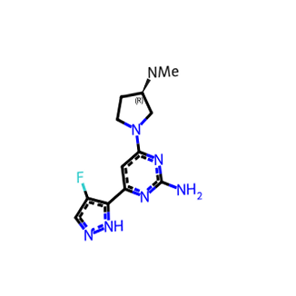 CN[C@@H]1CCN(c2cc(-c3[nH]ncc3F)nc(N)n2)C1